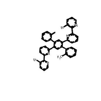 CCc1cccnc1-c1cccc(-c2cc(-c3ccccc3C(F)(F)F)c(-c3cccc(-c4ncccc4CC)n3)cc2-c2ccccc2C)n1